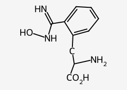 N=C(NO)c1ccccc1CC(N)C(=O)O